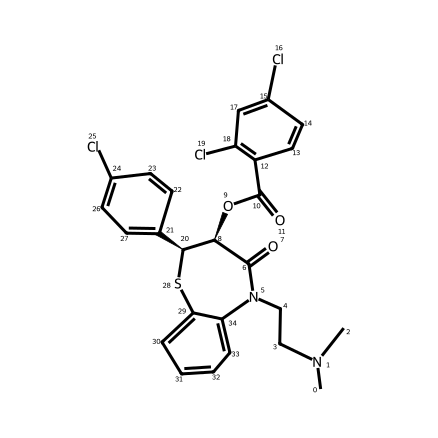 CN(C)CCN1C(=O)[C@H](OC(=O)c2ccc(Cl)cc2Cl)[C@H](c2ccc(Cl)cc2)Sc2ccccc21